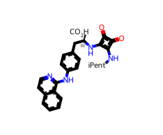 CCCC(C)Nc1c(N[C@@H](Cc2ccc(Nc3nccc4ccccc34)cc2)C(=O)O)c(=O)c1=O